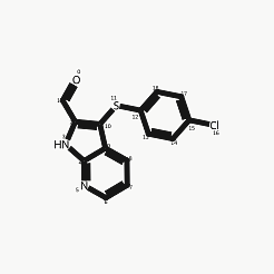 O=Cc1[nH]c2ncccc2c1Sc1ccc(Cl)cc1